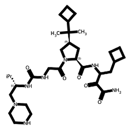 CC(C)[C@@H](CN1CCNCC1)NC(=O)NCC(=O)N1C[C@@H](C(C)(C)C2CCC2)C[C@H]1C(=O)NC(CC1CCC1)C(=O)C(N)=O